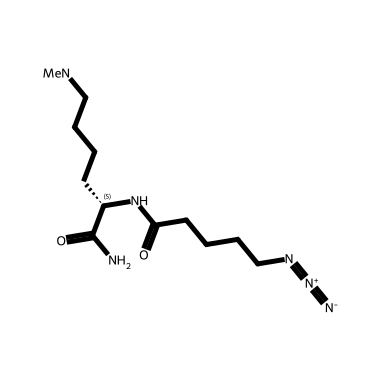 CNCCCC[C@H](NC(=O)CCCCN=[N+]=[N-])C(N)=O